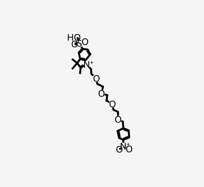 CC1=[N+](CCOCCOCCOCCOCc2ccc([N+](=O)[O-])cc2)c2ccc(S(=O)(=O)O)cc2C1(C)C